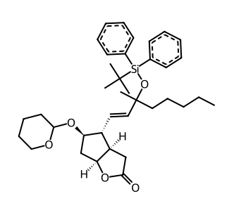 CCCCCC(C)(C=C[C@@H]1[C@H]2CC(=O)O[C@H]2C[C@H]1OC1CCCCO1)O[Si](c1ccccc1)(c1ccccc1)C(C)(C)C